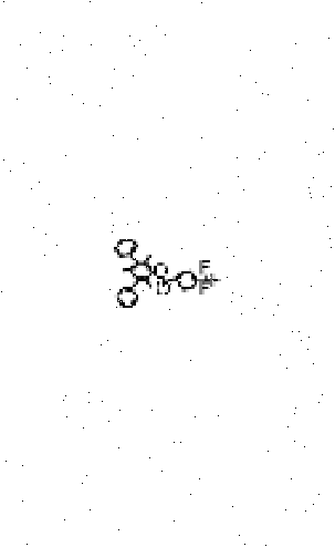 Cc1c(OC(=O)c2ccc(C(F)(F)F)cc2)c(C)c(-c2ccccc2)c(C)c1-c1ccccc1